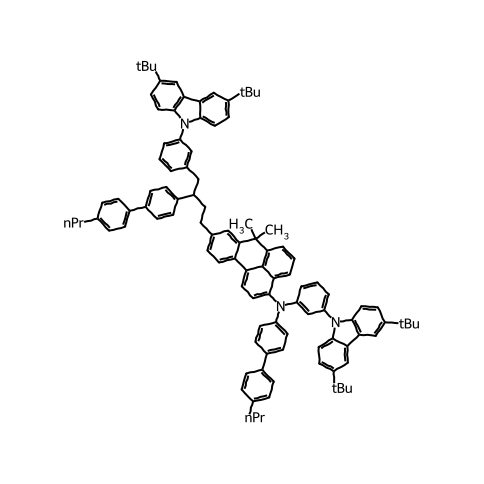 CCCc1ccc(-c2ccc(C(CCc3ccc4c(c3)C(C)(C)c3cccc5c(N(c6ccc(-c7ccc(CCC)cc7)cc6)c6cccc(-n7c8ccc(C(C)(C)C)cc8c8cc(C(C)(C)C)ccc87)c6)ccc-4c35)Cc3cccc(-n4c5ccc(C(C)(C)C)cc5c5cc(C(C)(C)C)ccc54)c3)cc2)cc1